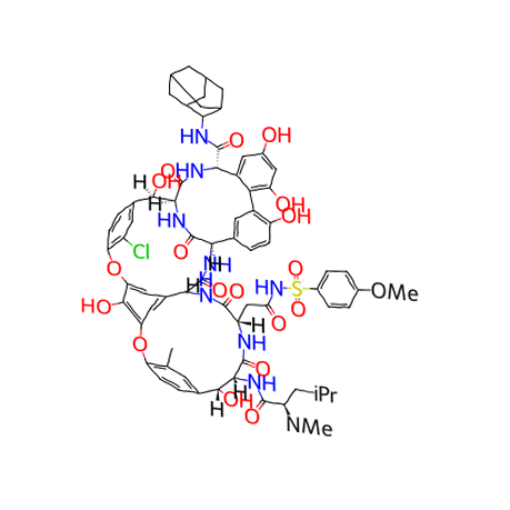 CN[C@H](CC(C)C)C(=O)N[C@H]1C(=O)N[C@@H](CC(=O)NS(=O)(=O)c2ccc(OC)cc2)C(=O)N[C@H]2C(=O)N[C@H]3C(=O)N[C@H](C(=O)N[C@H](C(=O)NC4C5CC6CC(C5)CC4C6)c4cc(O)cc(O)c4-c4cc3ccc4O)[C@H](O)c3ccc(c(Cl)c3)Oc3cc2cc(c3O)Oc2ccc(cc2C)[C@H]1O